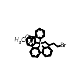 COC(=O)c1ccccc1P(CCCCBr)(c1ccccc1)(c1ccccc1)c1ccccc1